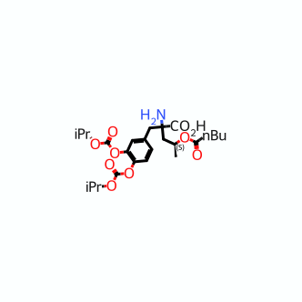 CCCCC(=O)O[C@@H](C)CC(N)(Cc1ccc(OC(=O)OC(C)C)c(OC(=O)OC(C)C)c1)C(=O)O